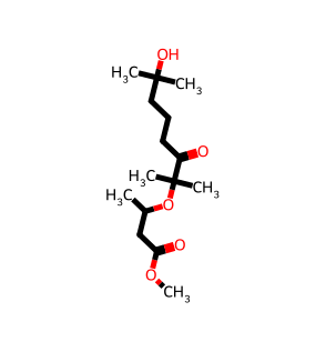 COC(=O)CC(C)OC(C)(C)C(=O)CCCC(C)(C)O